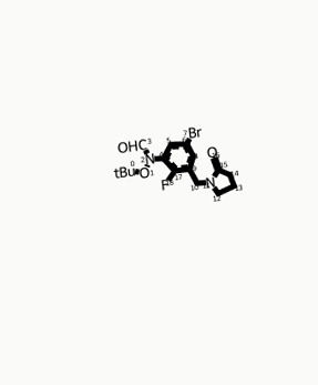 CC(C)(C)ON(C=O)c1cc(Br)cc(CN2CCCC2=O)c1F